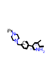 C=C/C(C)=C\C(=C/N)c1ccc(CN2CCN(C(C)C)CC2)cc1